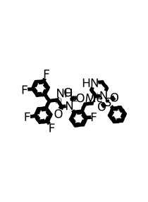 COC(=O)N(C(=O)[C@@H](N)C(c1cc(F)cc(F)c1)c1cc(F)cc(F)c1)c1cccc(F)c1CC[C@H]1CNCCN1S(=O)(=O)c1ccccc1